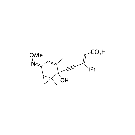 CON=C1C=C(C)C(O)(C#CC(=CC(=O)O)C(C)C)C2(C)CC12